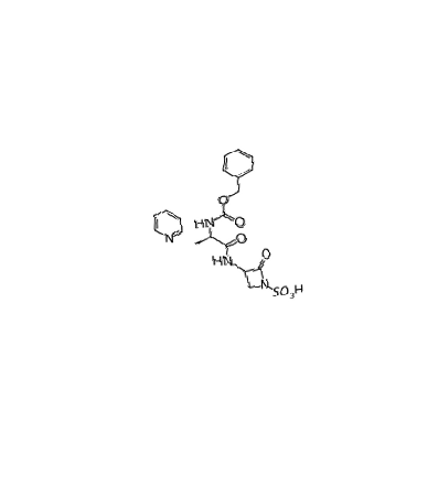 C[C@@H](NC(=O)OCc1ccccc1)C(=O)NC1CN(S(=O)(=O)O)C1=O.c1ccncc1